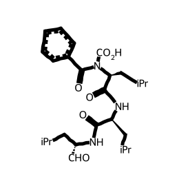 CC(C)C[C@@H](C=O)NC(=O)[C@H](CC(C)C)NC(=O)[C@H](CC(C)C)N(C(=O)O)C(=O)c1ccccc1